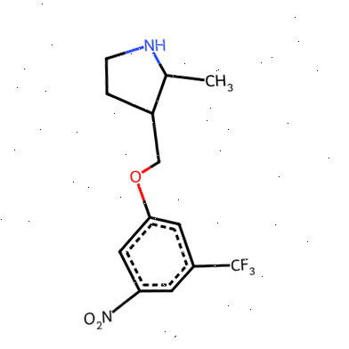 CC1NCCC1COc1cc([N+](=O)[O-])cc(C(F)(F)F)c1